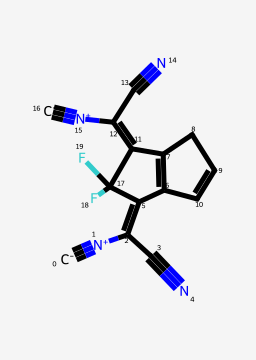 [C-]#[N+]/C(C#N)=C1C2=C(CC=C2)/C(=C(\C#N)[N+]#[C-])C/1(F)F